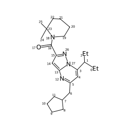 CCC(CC)c1cc(CC2CCCC2)nc2cc(C(=O)N3CCCCC3(C)C)nn12